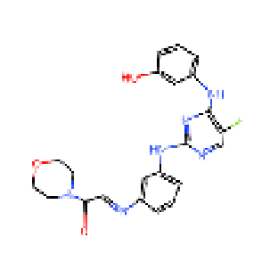 O=C(C=Nc1cccc(Nc2ncc(F)c(Nc3cccc(O)c3)n2)c1)N1CCOCC1